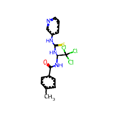 Cc1ccc(C(=O)NC(NC(=S)Nc2cccnc2)C(Cl)(Cl)Cl)cc1